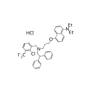 CCN(CC)c1cccc2c(OCCCN(Cc3cccc(C(F)(F)F)c3Cl)CC(c3ccccc3)c3ccccc3)cccc12.Cl